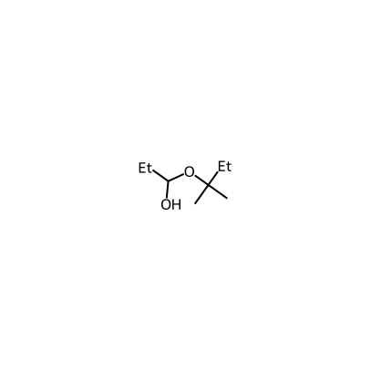 CCC(O)OC(C)(C)CC